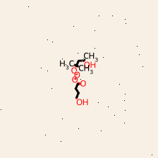 CC(O)CC(C)(C)OOOC(=O)CCCO